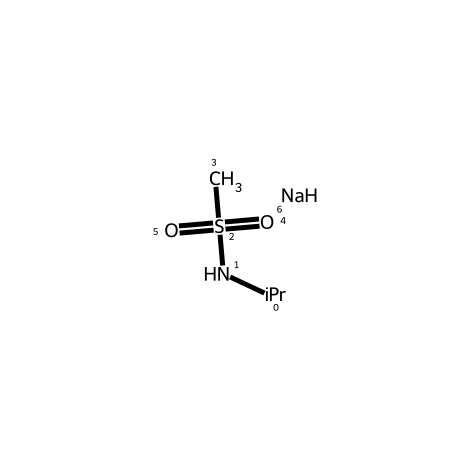 CC(C)NS(C)(=O)=O.[NaH]